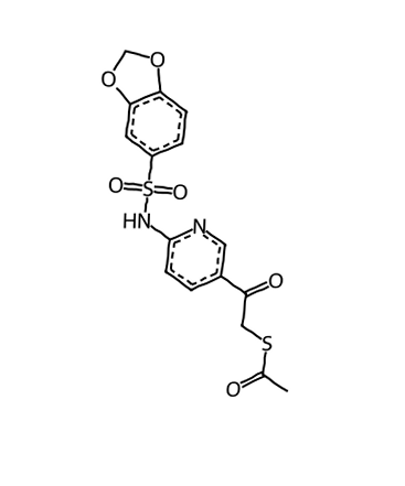 CC(=O)SCC(=O)c1ccc(NS(=O)(=O)c2ccc3c(c2)OCO3)nc1